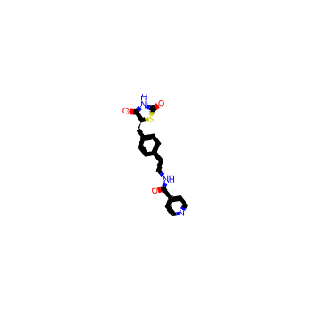 O=C1NC(=O)[C@@H](Cc2ccc(CCNC(=O)c3ccncc3)cc2)S1